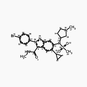 CNC(=O)c1c2cc(C3CC3)c(N(C3CCN(C)C3)S(C)(=O)=O)cc2nn1-c1ccc(Br)cc1